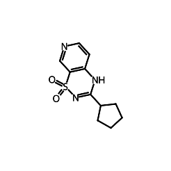 O=S1(=O)N=C(C2CCCC2)Nc2ccncc21